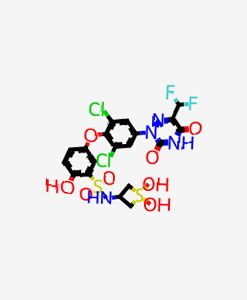 O=c1[nH]c(=O)n(-c2cc(Cl)c(Oc3ccc(O)c(S(=O)(=O)NC4CS(O)(O)C4)c3)c(Cl)c2)nc1C(F)F